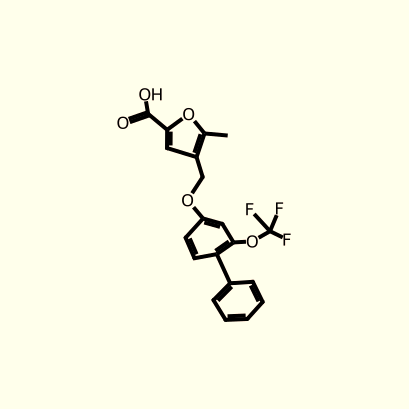 Cc1oc(C(=O)O)cc1COc1ccc(-c2ccccc2)c(OC(F)(F)F)c1